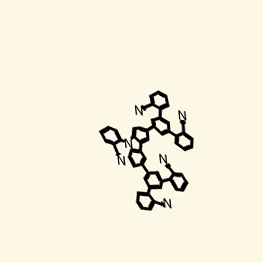 N#Cc1ccccc1-c1cc(-c2ccc3c(c2)c2cc(-c4cc(-c5ccccc5C#N)cc(-c5ccccc5C#N)c4)ccc2n3-c2ccccc2C#N)cc(-c2ccccc2C#N)c1